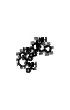 CC(=O)N[C@H]1CCCCC2CC[C@@H](C(=O)N[C@@H](Cc3c[nH]cn3)C(=O)NCc3ccccc3)N2C1=O